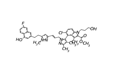 COC(=O)c1c(C)c2c(-c3c(C)c(C)nn3C/C=C/c3cc(CCc4cc(O)c5ccc(F)cc5c4)n(C)n3)c(Cl)ccc2n1CCCO